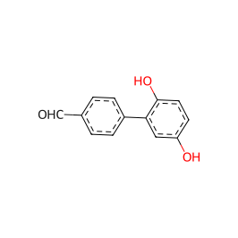 O=Cc1ccc(-c2cc(O)ccc2O)cc1